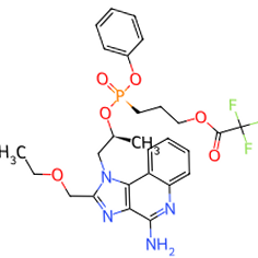 CCOCc1nc2c(N)nc3ccccc3c2n1C[C@H](C)O[P@@](=O)(CCCOC(=O)C(F)(F)F)Oc1ccccc1